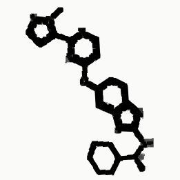 C[C@H](Nc1nc2ccc(Oc3ccnc(-c4ccnn4C)n3)cc2s1)C1CCCCC1